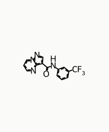 O=C(Nc1cccc(C(F)(F)F)c1)c1cnn2cccnc12